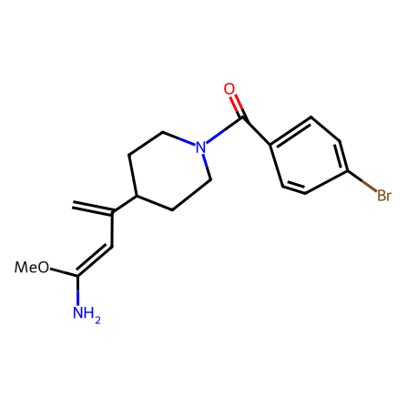 C=C(/C=C(/N)OC)C1CCN(C(=O)c2ccc(Br)cc2)CC1